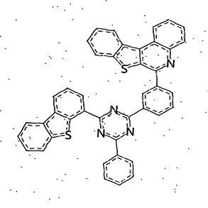 c1ccc(-c2nc(-c3cccc(-c4nc5ccccc5c5c4sc4ccccc45)c3)nc(-c3cccc4c3sc3ccccc34)n2)cc1